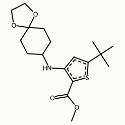 COC(=O)c1sc(C(C)(C)C)cc1NC1CCC2(CC1)OCCO2